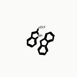 CCCCCCCCc1cc2ccccc2[nH]1.c1ccc2c(c1)Cc1ccccc1-2